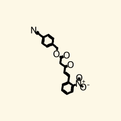 N#Cc1ccc(COC(=O)CC(=O)C=Cc2ccccc2[N+](=O)[O-])cc1